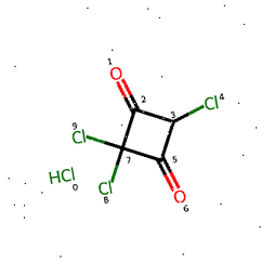 Cl.O=C1C(Cl)C(=O)C1(Cl)Cl